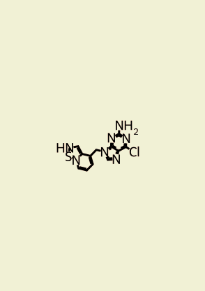 Nc1nc(Cl)c2ncn(CC3=CC=CN4SNC=C34)c2n1